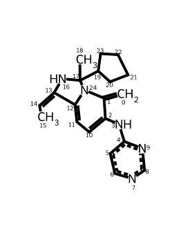 C=C1C(Nc2ccncn2)=CC=C2/C(=C\C)NC(C)(C3CCCC3)N12